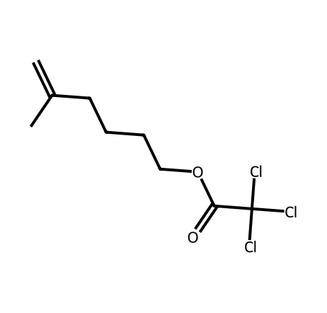 C=C(C)CCCCOC(=O)C(Cl)(Cl)Cl